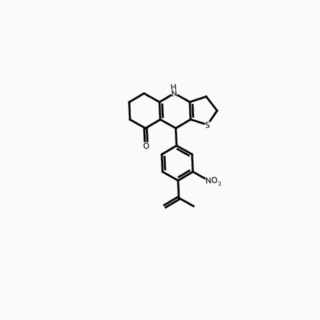 C=C(C)c1ccc(C2C3=C(CCS3)NC3=C2C(=O)CCC3)cc1[N+](=O)[O-]